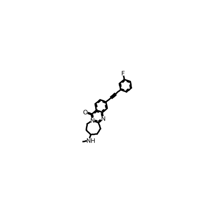 CNC1CCc2nc3cc(C#Cc4cccc(F)c4)ccc3c(=O)n2CC1